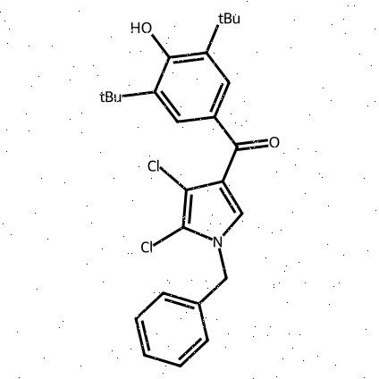 CC(C)(C)c1cc(C(=O)c2cn(Cc3ccccc3)c(Cl)c2Cl)cc(C(C)(C)C)c1O